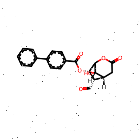 O=C[C@H]1[C@H]2CC(=O)OC([C@H]2O)[C@H]1OC(=O)c1ccc(-c2ccccc2)cc1